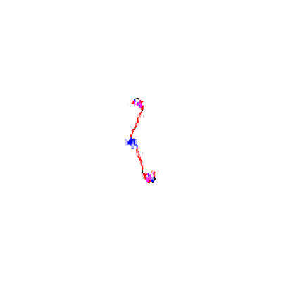 O=C(CCOCCOCCOCc1cn(CCOCCOCCC(=O)ON2C(=O)CCC2=O)nn1)ON1C(=O)CCC1=O